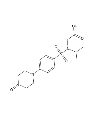 CC(C)N(CC(=O)O)S(=O)(=O)c1ccc(N2CCC(=O)CC2)cc1